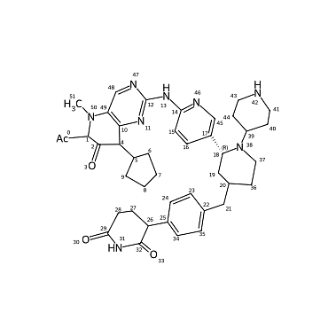 CC(=O)C1C(=O)C(C2CCCC2)c2nc(Nc3ccc([C@H]4CC(Cc5ccc(C6CCC(=O)NC6=O)cc5)CCN4C4CCNCC4)cn3)ncc2N1C